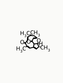 C/C1=C/C2=C[C@H](C)[C@H]3OC(=CC(=O)C23)CC(C)(C)/C=C/C1=O